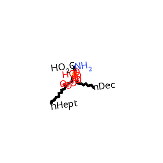 CCCCCCC/C=C\CCCCCCCC(=O)OC[C@H](COP(=O)(O)OC[C@H](N)C(=O)O)OC(=O)CCCCCCCCCCCCCCCCC